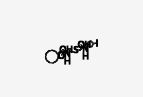 CC1(OC(O)NCCSCC(O)NC2CCC(I)C2)CCCCCCCCCC1